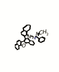 C=N/C(=N\Cn1c2c3ccccc3ccc2c2c3c4ccc5ccccc5c4oc3c3ccccc3c21)c1ccccc1